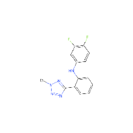 CCn1nnc(-c2ccccc2Nc2ccc(F)c(F)c2)n1